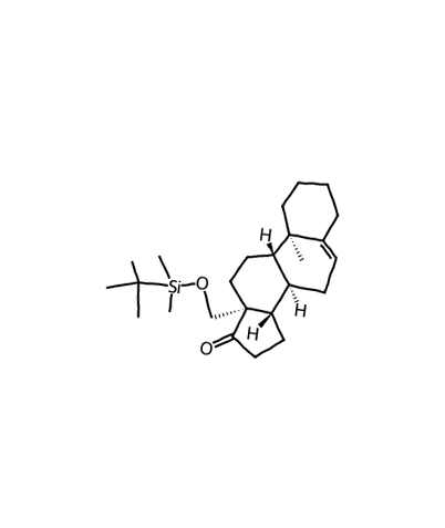 CC(C)(C)[Si](C)(C)OC[C@]12CC[C@H]3[C@@H](CC=C4CCCC[C@@]43C)[C@@H]1CCC2=O